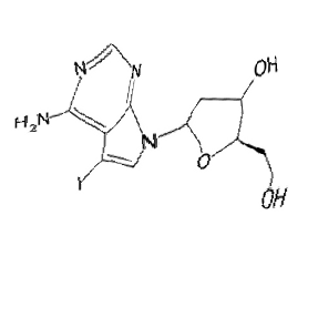 Nc1ncnc2c1c(I)cn2C1CC(O)[C@@H](CO)O1